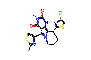 Cc1nc(-c2c3c(=O)n(C)c(=O)n(C)c3c3n2CCC[C@@H]3c2nc(Cl)cs2)cs1